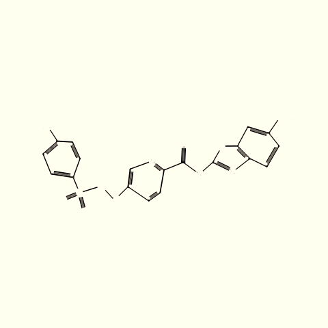 Cc1ccc(S(=O)(=O)O[I+]c2ccc(C(=O)Nc3nc4ccc(C)cc4s3)nc2)cc1